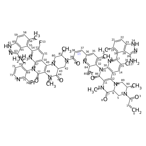 C=CC(=O)N1CC2C(=O)N(C)c3c(c4cc(Cl)c(-c5c(C)ccc6[nH]nc(N)c56)nc4n(-c4c(C)cc(/C=C\C(=O)N5CC6C(=O)N(C)c7c(c8cc(F)c(-c9c(C)ccc%10[nH]nc(N)c9%10)nc8n(-c8c(C)ccnc8C(C)C)c7=O)N6CC5C)nc4C(C)C)c3=O)N2CC1C